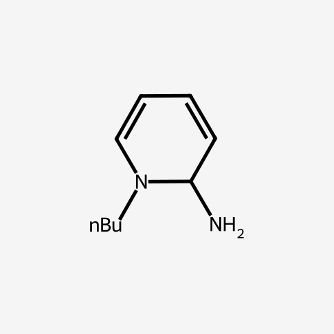 CCCCN1C=CC=CC1N